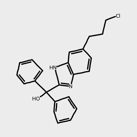 OC(c1ccccc1)(c1ccccc1)c1nc2ccc(CCCCl)cc2[nH]1